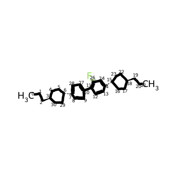 CCC[C@H]1CC[C@H](c2ccc(-c3ccc([C@H]4CC[C@H](CCC)CC4)cc3F)cc2)CC1